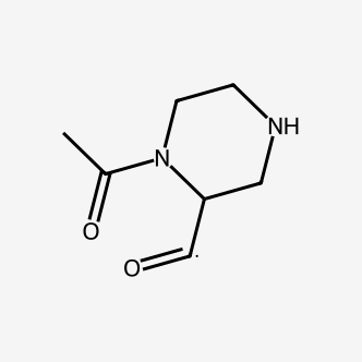 CC(=O)N1CCNCC1[C]=O